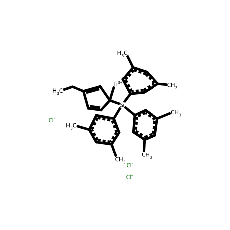 CCC1=C[C]([Ti+3])([Si](c2cc(C)cc(C)c2)(c2cc(C)cc(C)c2)c2cc(C)cc(C)c2)C=C1.[Cl-].[Cl-].[Cl-]